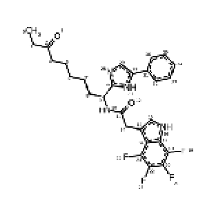 CCC(=O)CCCCC[C@H](NC(=O)Cc1c[nH]c2c(F)c(F)c(F)c(F)c12)c1ncc(-c2ccccc2)[nH]1